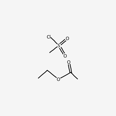 CCOC(C)=O.CS(=O)(=O)Cl